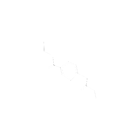 CCOC(=O)c1ccc(CC(=O)CC)cc1